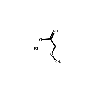 COCC(=N)Cl.Cl